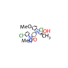 COC(=O)C1(Nc2cccc(Cl)c2)CCC2(CC1)c1cc(OC)ccc1C(Cl)N2C[C@@H](C)CO